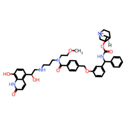 COCCN(CCCNC[C@@H](O)c1ccc(O)c2[nH]c(=O)ccc12)C(=O)c1ccc(COc2cccc(C(NC(=O)O[C@H]3CN4CCC3CC4)c3ccccc3)c2)cc1